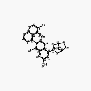 CCc1c(F)ccc2cccc(-c3c(F)cc4c(N5CC6CCC(C5)N6)nc(O)nc4c3F)c12